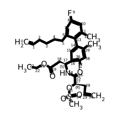 C=CCCCCc1cc(F)cc(C)c1-c1cc([C@H](CC(=O)OCC)NC(=O)[C@@H](CC=C)OS(C)(=O)=O)c(F)cc1C